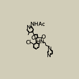 CC(=O)Nc1cc(-c2cc(C(=O)NCCCn3ccnc3)c(-c3ccccc3Cl)o2)c(C)cn1